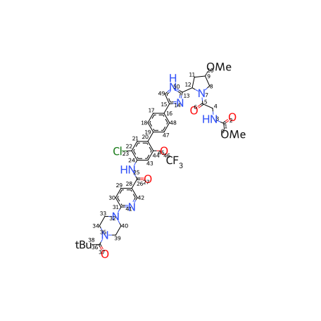 COC(=O)NCC(=O)N1CC(OC)CC1c1nc(-c2ccc(-c3cc(Cl)c(NC(=O)c4ccc(N5CCN(C(=O)C(C)(C)C)CC5)nc4)cc3OC(F)(F)F)cc2)c[nH]1